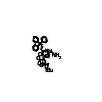 COC(=O)[C@H](CC(=O)OC(C)(C)C)NC(=O)[C@H](CSC(c1ccccc1)(c1ccccc1)c1ccccc1)NC(=O)CN